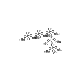 CCCCOP(=O)([O-])OCCCC.CCCCOP(=O)([O-])OCCCC.CCCCOP(=O)([O-])OCCCC.CCCCOP(=O)([O-])OCCCC.CCCCOP(=O)([O-])OCCCC.[V+5]